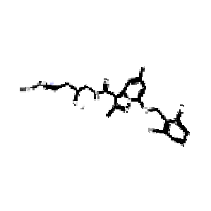 CCC/N=C/CC(N)CNC(=O)c1c(C)nn2c(OCc3c(F)cccc3F)cc(C)cc12